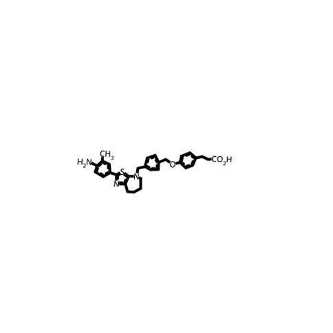 Cc1cc(-c2nc3c(s2)N(Cc2ccc(COc4ccc(CCC(=O)O)cc4)cc2)CCCC3)ccc1N